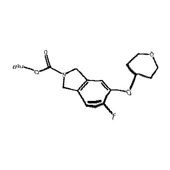 CC(C)(C)OC(=O)N1Cc2cc(F)c(OC3CCOCC3)cc2C1